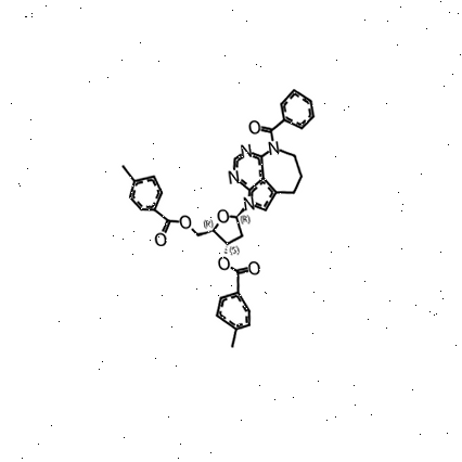 Cc1ccc(C(=O)OC[C@H]2O[C@@H](n3cc4c5c(ncnc53)N(C(=O)c3ccccc3)CCC4)C[C@@H]2OC(=O)c2ccc(C)cc2)cc1